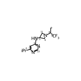 CC(C)c1cc(NC2CN([C@@H](C)C(F)(F)F)C2)ncn1